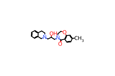 Cc1ccc2c(c1)OCCN(CC(O)CN1CCc3ccccc3C1)C2=O